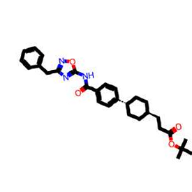 CC(C)(C)OC(=O)CC[C@H]1CC[C@H](c2ccc(C(=O)Nc3nc(Cc4ccccc4)no3)cc2)CC1